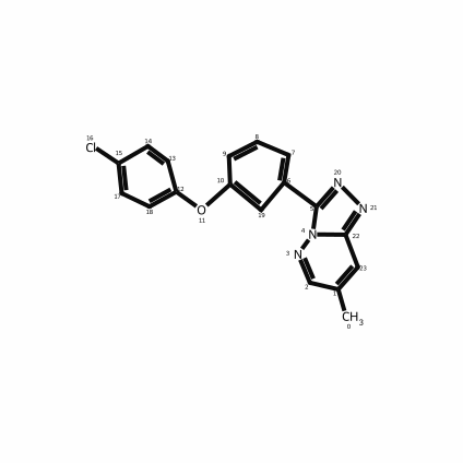 Cc1cnn2c(-c3cccc(Oc4ccc(Cl)cc4)c3)nnc2c1